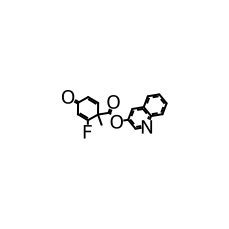 CC1(C(=O)Oc2cnc3ccccc3c2)C=CC(=O)C=C1F